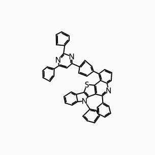 c1ccc(-c2cc(-c3ccc(-c4cccc5nc(-c6ccccc6)c6c(sc7c8ccccc8n(-c8ccccc8)c76)c45)cc3)nc(-c3ccccc3)n2)cc1